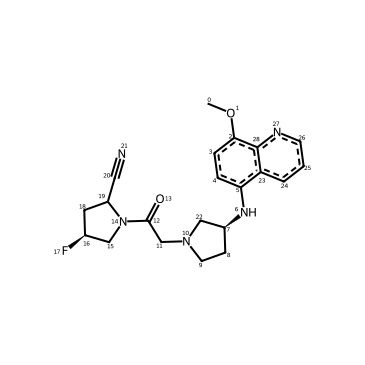 COc1ccc(N[C@H]2CCN(CC(=O)N3C[C@@H](F)CC3C#N)C2)c2cccnc12